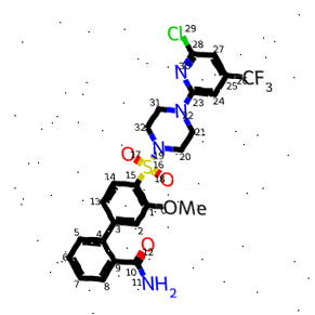 COc1cc(-c2ccccc2C(N)=O)ccc1S(=O)(=O)N1CCN(c2cc(C(F)(F)F)cc(Cl)n2)CC1